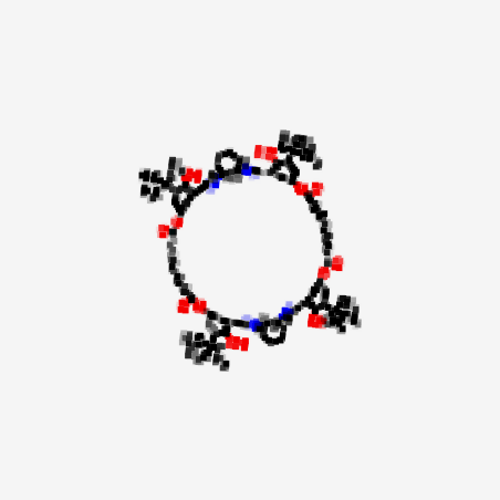 CC(C)(C)c1cc2cc(c1O)/C=N/[C@H]1CCCC[C@@H]1/N=C/c1cc(cc(C(C)(C)C)c1O)OC(=O)CCCCCC(=O)Oc1cc(c(O)c(C(C)(C)C)c1)/C=N/[C@H]1CCCC[C@@H]1/N=C/c1cc(cc(C(C)(C)C)c1O)OC(=O)CCCCCC(=O)O2